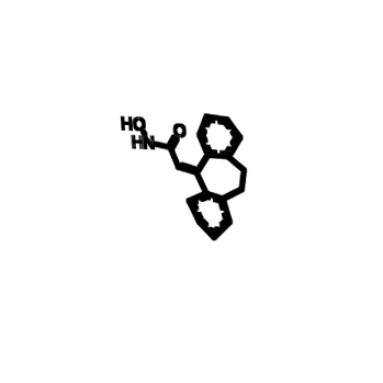 O=C(C=C1c2ccccc2CCc2ccccc21)NO